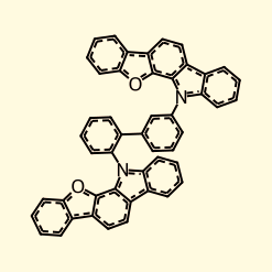 c1cc(-c2ccccc2-n2c3ccccc3c3ccc4c5ccccc5oc4c32)cc(-n2c3ccccc3c3ccc4c5ccccc5oc4c32)c1